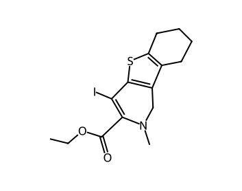 CCOC(=O)C1=C(I)c2sc3c(c2CN1C)CCCC3